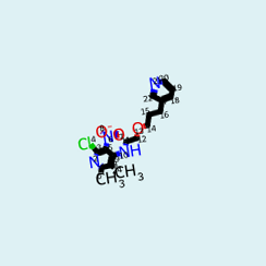 Cc1nc(Cl)c([N+](=O)[O-])c(NCCOCCCc2cccnc2)c1C